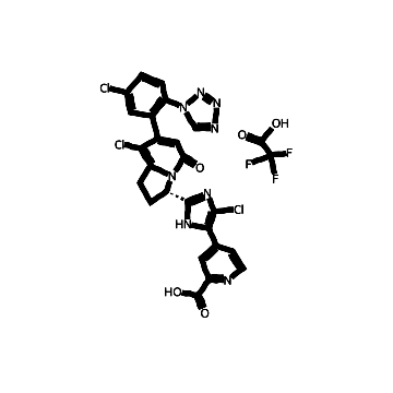 O=C(O)C(F)(F)F.O=C(O)c1cc(-c2[nH]c([C@@H]3CCc4c(Cl)c(-c5cc(Cl)ccc5-n5cnnn5)cc(=O)n43)nc2Cl)ccn1